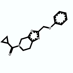 O=C(C1CC1)N1CCc2nc(COc3ccccc3)oc2C1